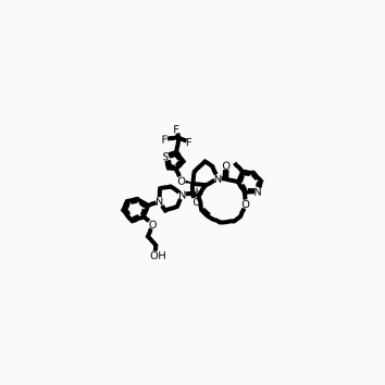 Cc1ccnc2c1C(=O)N1CCC[C@@](Oc3csc(C(F)(F)F)c3)(C(=O)N3CCN(c4ccccc4OCCO)CC3)[C@H]1C/C=C\CCCO2